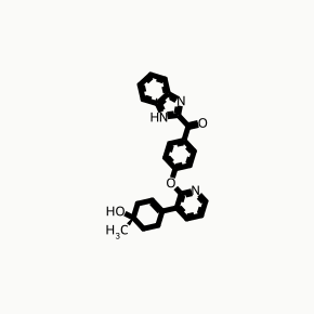 C[C@@]1(O)CC=C(c2cccnc2Oc2ccc(C(=O)c3nc4ccccc4[nH]3)cc2)CC1